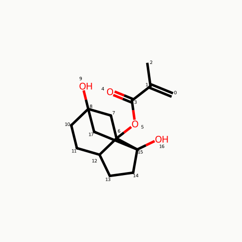 C=C(C)C(=O)OC12CC3(O)CCC1CCC2(O)C3